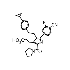 N#Cc1ccc(C2=NC(C(=O)N3CCCC3)=C(CCC(=O)O)C2CCc2ccc(C3CC3)cc2)cc1F